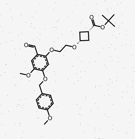 COc1ccc(COc2cc(OCCO[C@H]3C[C@@H](C(=O)OC(C)(C)C)C3)c(C=O)cc2OC)cc1